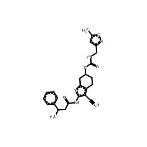 C#Cc1c(NC(=O)CC(C)c2ccccc2)sc2c1CCC(OC(=O)NCc1cc(C)on1)C2